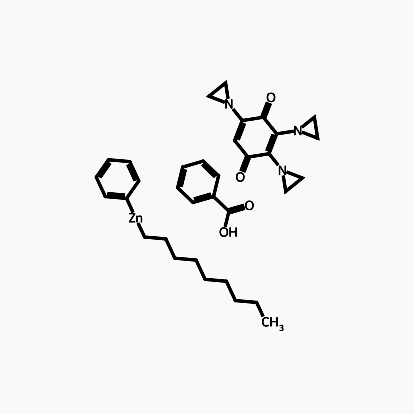 CCCCCCCC[CH2][Zn][c]1ccccc1.O=C(O)c1ccccc1.O=C1C=C(N2CC2)C(=O)C(N2CC2)=C1N1CC1